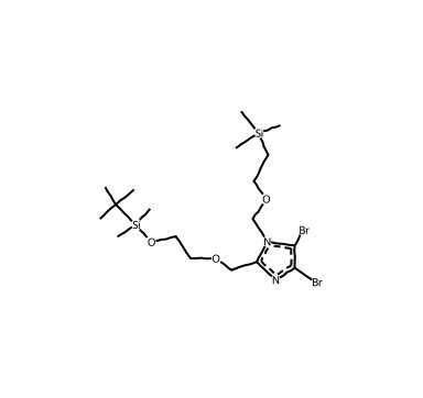 CC(C)(C)[Si](C)(C)OCCOCc1nc(Br)c(Br)n1COCC[Si](C)(C)C